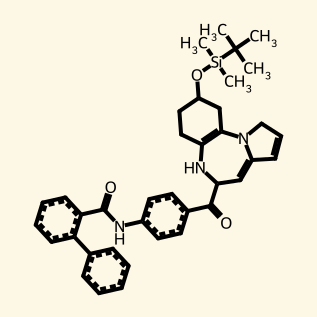 CC(C)(C)[Si](C)(C)OC1CCC2=C(C1)N1CC=CC1=CC(C(=O)c1ccc(NC(=O)c3ccccc3-c3ccccc3)cc1)N2